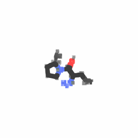 CC(=O)[C@H]1CCCN1C(=O)C(N)CC(C)C